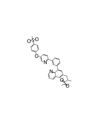 CC(Cc1cc(-c2cccc(-c3ccc(Oc4ccc(S(C)(=O)=O)cc4)cn3)c2)c2ncccc2c1)S(C)(=O)=O